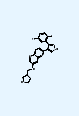 Fc1ccc(Cl)cc1-c1n[nH]cc1-c1ccc2ncc(NCC3CCNC3)cc2n1